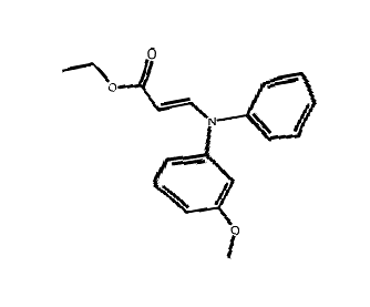 CCOC(=O)C=CN(c1ccccc1)c1cccc(OC)c1